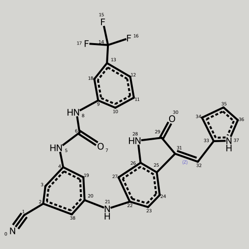 N#Cc1cc(NC(=O)Nc2cccc(C(F)(F)F)c2)cc(Nc2ccc3c(c2)NC(=O)/C3=C\c2ccc[nH]2)c1